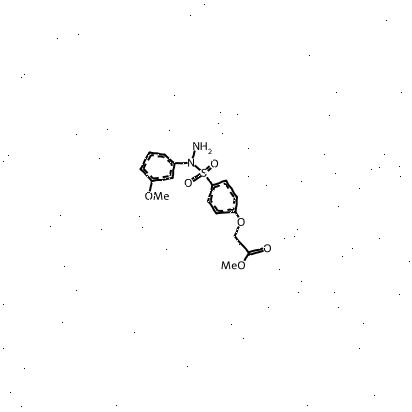 COC(=O)COc1ccc(S(=O)(=O)N(N)c2cccc(OC)c2)cc1